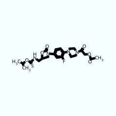 CC(=O)OCC(=O)N1CCN(c2ccc(N3CC(CNC(=S)OC(C)C)OC3=O)cc2F)CC1